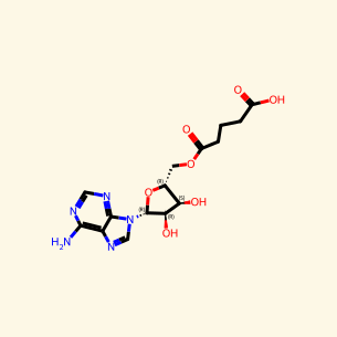 Nc1ncnc2c1ncn2[C@@H]1O[C@H](COC(=O)CCCC(=O)O)[C@@H](O)[C@H]1O